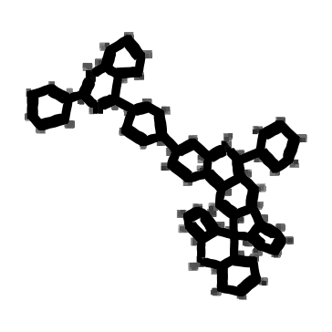 c1ccc(-c2nc(-c3ccc(-c4ccc5c(c4)nc(-c4ccccc4)c4cc6c(cc45)C4(c5ccccc5Sc5ccccc54)c4ccccc4-6)cc3)c3ccccc3n2)cc1